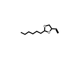 C=CC1COC(CCCCCC)O1